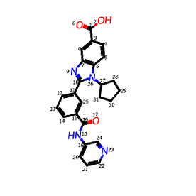 O=C(O)c1ccc2c(c1)nc(-c1cccc(C(=O)Nc3cccnc3)c1)n2C1CCCC1